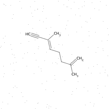 C#C/C(C)=C/CCC(=C)C